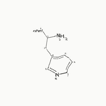 CCCCCC(N)Cc1cccnc1